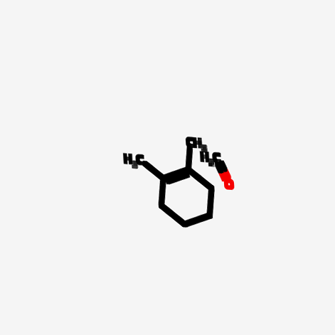 C=O.CC1=C(C)CCCC1